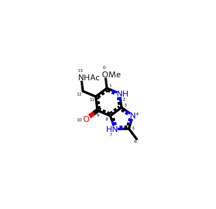 COc1[nH]c2nc(C)[nH]c2c(=O)c1CNC(C)=O